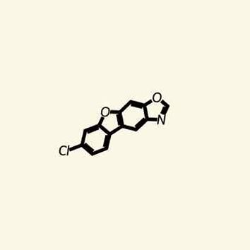 Clc1ccc2c(c1)oc1cc3ocnc3cc12